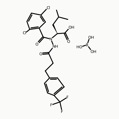 CC(C)C[C@@H](C(=O)O)N(NC(=O)CCc1ccc(C(F)(F)F)cc1)C(=O)c1cc(Cl)ccc1Cl.OB(O)O